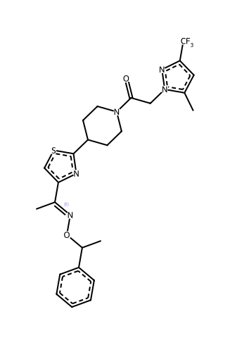 C/C(=N\OC(C)c1ccccc1)c1csc(C2CCN(C(=O)Cn3nc(C(F)(F)F)cc3C)CC2)n1